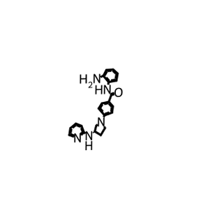 Nc1ccccc1NC(=O)c1ccc(N2CC[C@H](Nc3ccccn3)C2)cc1